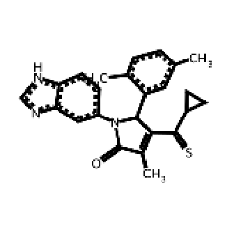 CC1=C(C(=S)C2CC2)C(c2cc(C)ccc2C)N(c2ccc3[nH]cnc3c2)C1=O